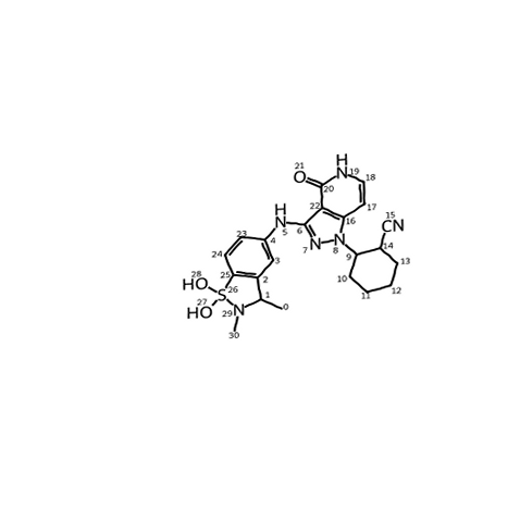 CC1c2cc(Nc3nn(C4CCCCC4C#N)c4cc[nH]c(=O)c34)ccc2S(O)(O)N1C